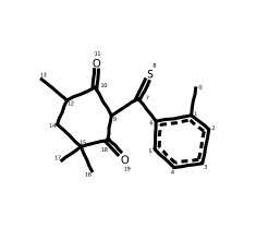 Cc1ccccc1C(=S)C1C(=O)C(C)CC(C)(C)C1=O